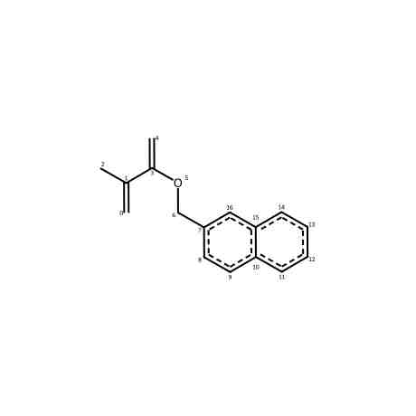 C=C(C)C(=C)OCc1ccc2ccccc2c1